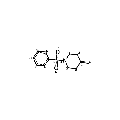 C=C1CCN(S(=O)(=O)c2ccccc2)CC1